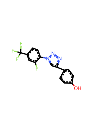 Oc1ccc(-c2cn(-c3ccc(C(F)(F)F)cc3F)nn2)cc1